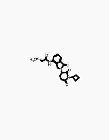 COCC(=O)Nc1cccc2c1CN(C1CCC(=O)N(C3CCC3)C1=O)C2=O